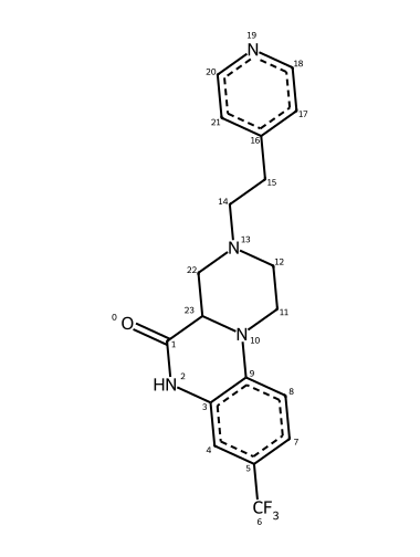 O=C1Nc2cc(C(F)(F)F)ccc2N2CCN(CCc3ccncc3)CC12